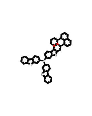 c1ccc(-c2cccc3cccc(-c4ccc5c(c4)sc4cc(N(c6ccc7c(c6)oc6ccccc67)c6ccc7c(c6)oc6ccccc67)ccc45)c23)cc1